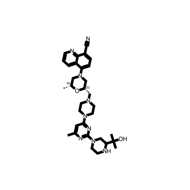 Cc1cc(N2CCN(C[C@H]3CN(c4ccc(C#N)c5ncccc45)C[C@@H](C)O3)CC2)nc(N2CCNC(C(C)(C)O)C2)n1